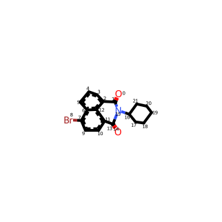 O=C1c2cccc3c(Br)ccc(c23)C(=O)N1C1CCCCC1